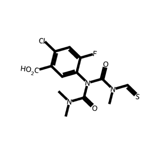 CN(C)C(=O)N(C(=O)N(C)C=S)c1cc(C(=O)O)c(Cl)cc1F